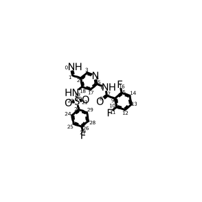 N=Cc1cnc(NC(=O)c2c(F)cccc2F)cc1NS(=O)(=O)c1ccc(F)cc1